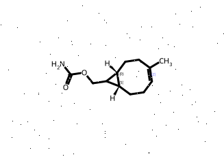 C/C1=C/CC[C@@H]2C(COC(N)=O)[C@@H]2CC1